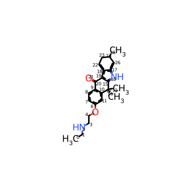 CCNCCOc1ccc2c(c1)C(C)(C)c1[nH]c3c(c1C2=O)=CCC(C)C=3